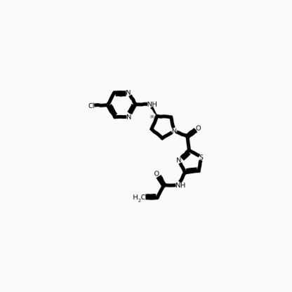 C=CC(=O)Nc1csc(C(=O)N2CC[C@@H](Nc3ncc(Cl)cn3)C2)n1